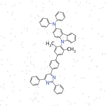 Cc1cc(-c2ccc(-c3cc(-c4ccccc4)nc(-c4ccccc4)n3)cc2)cc(C)c1-n1c2ccccc2c2cc(N(c3ccccc3)c3ccccc3)ccc21